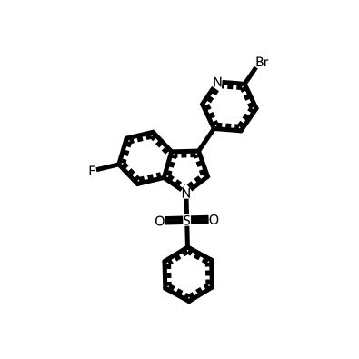 O=S(=O)(c1ccccc1)n1cc(-c2ccc(Br)nc2)c2ccc(F)cc21